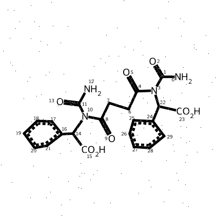 NC(=O)N(C(=O)CCC(=O)N(C(N)=O)C(C(=O)O)c1ccccc1)C(C(=O)O)c1ccccc1